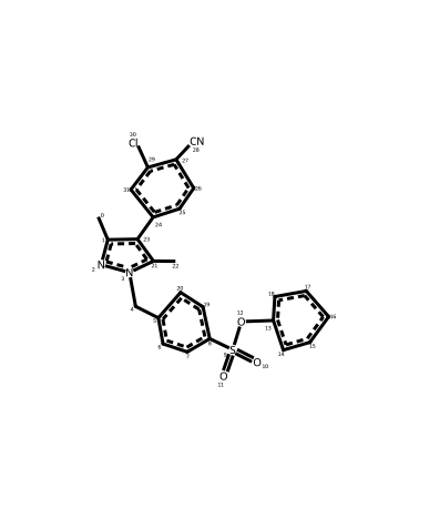 Cc1nn(Cc2ccc(S(=O)(=O)Oc3ccccc3)cc2)c(C)c1-c1ccc(C#N)c(Cl)c1